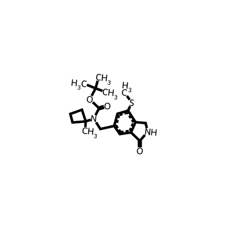 CSc1cc(CN(C(=O)OC(C)(C)C)C2(C)CCC2)cc2c1CNC2=O